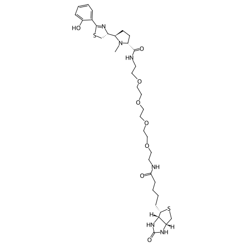 CN1[C@@H](C(=O)NCCOCCOCCOCCOCCNC(=O)CCCC[C@@H]2SC[C@@H]3NC(=O)N[C@@H]32)CC[C@@H]1[C@@H]1CSC(c2ccccc2O)=N1